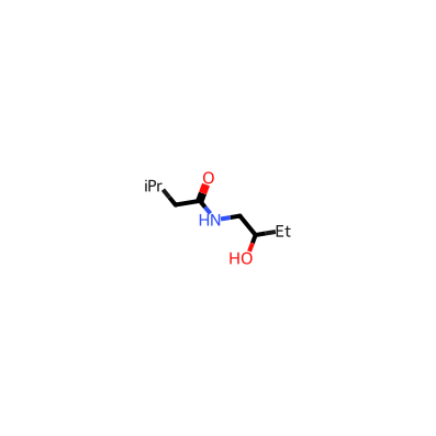 CCC(O)CNC(=O)CC(C)C